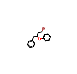 BrCCC(Cc1ccccc1)Oc1ccccc1